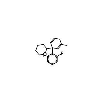 CC1=CC(c2c(F)cccc2F)(C2CCCCO2)C=CC1